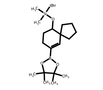 CC1(C)OB(C2=CC3(CCCC3)C(O[Si](C)(C)C(C)(C)C)CC2)OC1(C)C